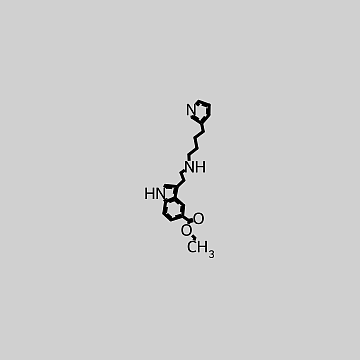 CCOC(=O)c1ccc2[nH]cc(CCNCCCCc3cccnc3)c2c1